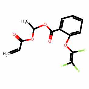 C=CC(=O)OC(C)OC(=O)c1ccccc1OC(F)=C(F)F